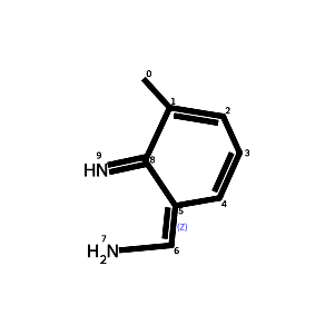 CC1=CC=C/C(=C/N)C1=N